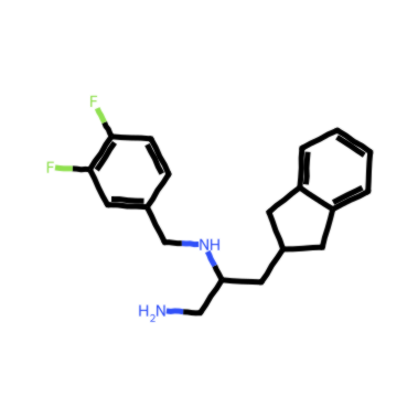 NCC(CC1Cc2ccccc2C1)NCc1ccc(F)c(F)c1